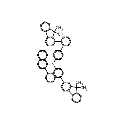 CC1(C)c2ccccc2-c2ccc(-c3ccc(N(c4ccc(-c5ccccc5-c5cccc6c5C(C)(C)c5ccccc5-6)cc4)c4c(-c5ccccc5)ccc5ccccc45)cc3)cc21